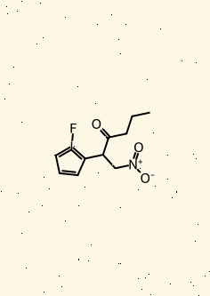 CCCC(=O)C(C[N+](=O)[O-])C1=I(F)=CC=C1